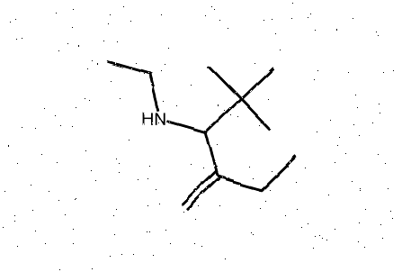 C=C(CC)C(NCC)C(C)(C)C